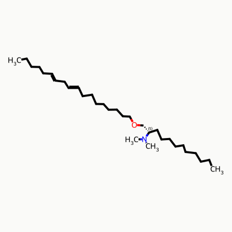 CCCCCC=CCC=CCCCCCCCCOC[C@H](CCCCCCCCCC)N(C)C